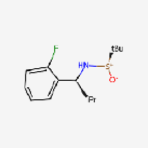 CC(C)[C@H](N[S@+]([O-])C(C)(C)C)c1ccccc1F